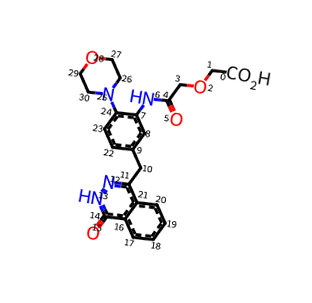 O=C(O)COCC(=O)Nc1cc(Cc2n[nH]c(=O)c3ccccc23)ccc1N1CCOCC1